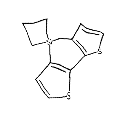 c1cc2c(s1)-c1sccc1[Si]21CCC1